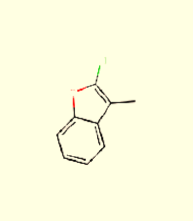 Cc1c(Cl)oc2ccccc12